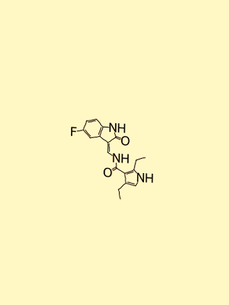 CCc1c[nH]c(CC)c1C(=O)NC=C1C(=O)Nc2ccc(F)cc21